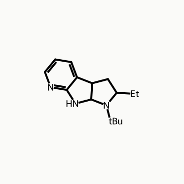 CCC1CC2c3cccnc3NC2N1C(C)(C)C